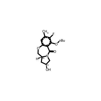 CCCCOc1c(F)c(C)cc2c1C(=O)N1C[C@@H](O)C[C@@H]1CO2